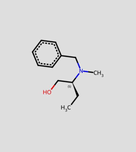 CC[C@@H](CO)N(C)Cc1ccccc1